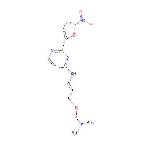 CN(C)COCC=NNc1ccnc(-c2ccc([N+](=O)[O-])o2)n1